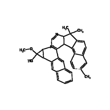 COC1(O)C2c3cc4ccccc4cc3C3=[N+](C=NC4C3c3c(ccc5cc(C)ccc35)C4(C)C)C21